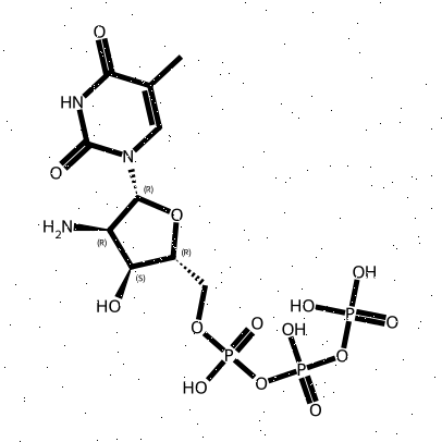 Cc1cn([C@@H]2O[C@H](COP(=O)(O)OP(=O)(O)OP(=O)(O)O)[C@@H](O)[C@H]2N)c(=O)[nH]c1=O